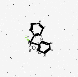 O=C(O)C(F)(c1ccccc1)c1ccccc1